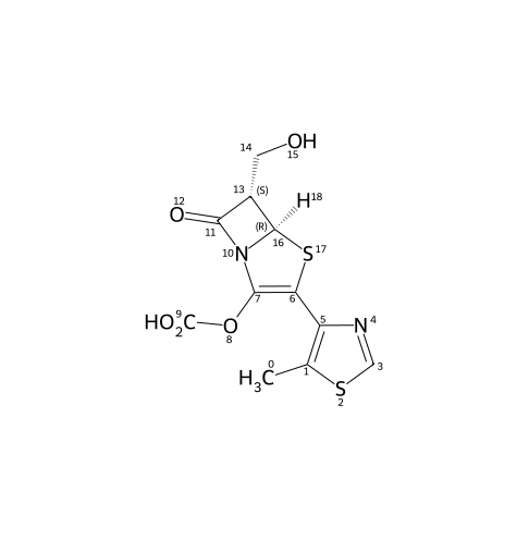 Cc1scnc1C1=C(OC(=O)O)N2C(=O)[C@H](CO)[C@H]2S1